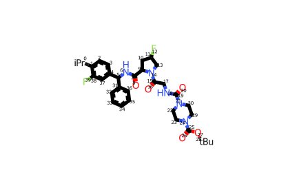 CC(C)c1ccc(C(NC(=O)C2CC(F)CN2C(=O)CNC(=O)N2CCN(C(=O)OC(C)(C)C)CC2)c2ccccc2)cc1F